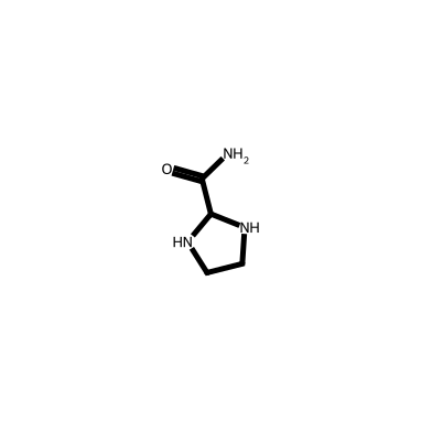 NC(=O)[C]1NCCN1